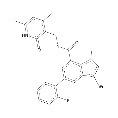 Cc1cc(C)c(CNC(=O)c2cc(-c3ccccc3F)cc3c2c(C)cn3C(C)C)c(=O)[nH]1